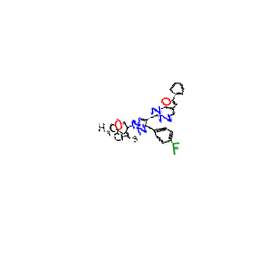 CC1(C)CC(n2cc(-c3ncc4cc(-c5ccccc5)oc4n3)c(-c3ccc(F)cc3)n2)CO1